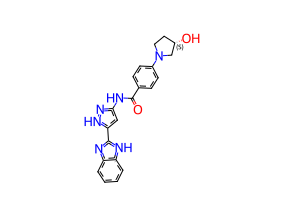 O=C(Nc1cc(-c2nc3ccccc3[nH]2)[nH]n1)c1ccc(N2CC[C@H](O)C2)cc1